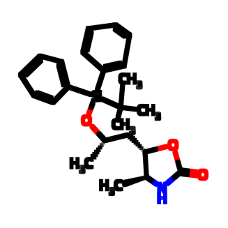 C[C@@H]1NC(=O)O[C@H]1C[C@H](C)O[Si](c1ccccc1)(c1ccccc1)C(C)(C)C